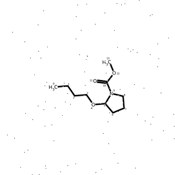 CCCCOC1CCCN1C(=O)OC